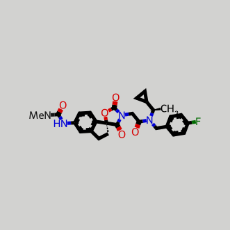 CNC(=O)Nc1ccc2c(c1)CC[C@@]21OC(=O)N(CC(=O)N(Cc2ccc(F)cc2)[C@H](C)C2CC2)C1=O